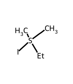 CCS(C)(C)I